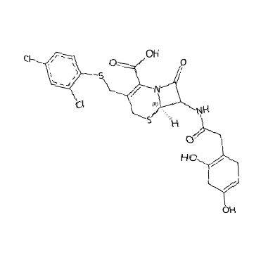 O=C(CC1=C(O)CC(O)=CC1)NC1C(=O)N2C(C(=O)O)=C(CSc3ccc(Cl)cc3Cl)CS[C@H]12